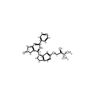 CN(C)C(=O)COc1ccc2c(c1)N(c1nc(-c3ccncc3)nc3c1C[S+]([O-])C3)CC2